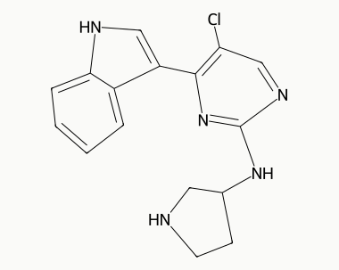 Clc1cnc(NC2CCNC2)nc1-c1c[nH]c2ccccc12